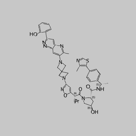 Cc1nc2cc(-c3ccccc3O)nnc2cc1N1CC2(CN(c3cc([C@H](C(=O)N4C[C@H](O)C[C@H]4C(=O)N[C@@H](C)c4ccc(-c5scnc5C)cc4)C(C)C)on3)C2)C1